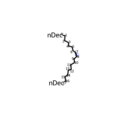 CCCCCCCCCCCCCCCC/[C]=C\CCCCCCCCCCCCCCCCCC